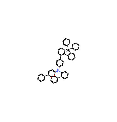 c1ccc(-c2ccc(N(c3ccc(-c4cccc5c4-c4ccccc4[Si]5(c4ccccc4)c4ccccc4)cc3)c3ccccc3-c3ccccc3)cc2)cc1